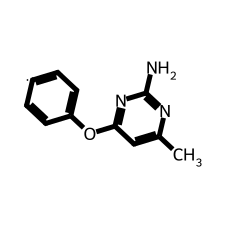 Cc1cc(Oc2cc[c]cc2)nc(N)n1